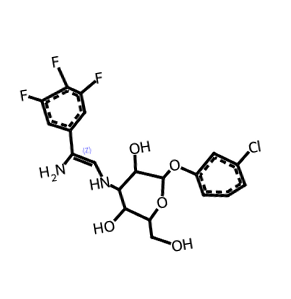 N/C(=C\NC1C(O)C(CO)OC(Oc2cccc(Cl)c2)C1O)c1cc(F)c(F)c(F)c1